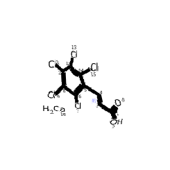 O=C(O)/C=C/c1c(Cl)c(Cl)c(Cl)c(Cl)c1Cl.[CaH2]